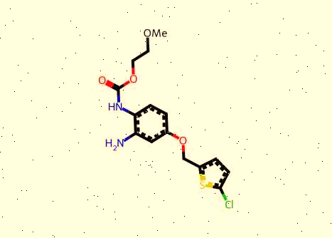 COCCOC(=O)Nc1ccc(OCc2ccc(Cl)s2)cc1N